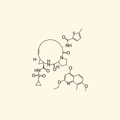 CCOc1cc(O[C@@H]2C[C@H]3C(=O)N[C@]4(C(=O)NS(=O)(=O)C5CC5)C[C@H]4/C=C\CCCCC[C@H](NC(=O)c4ccc(C)s4)C(=O)N3C2)c2ccc(OC)c(C)c2n1